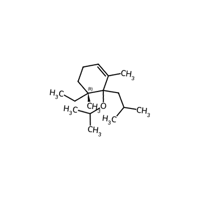 CC[C@]1(C)CCC=C(C)C1(CC(C)C)OC(C)C